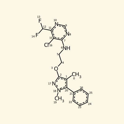 Cc1c(OCCNc2ncnc(C(F)F)c2Cl)nn(C)c1-c1ccccc1